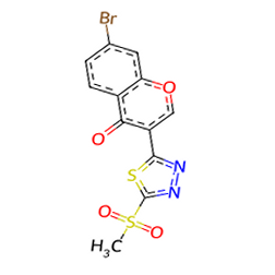 CS(=O)(=O)c1nnc(-c2coc3cc(Br)ccc3c2=O)s1